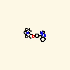 C[C@@H]1CC[C@@H](C)N1CCCOc1ccc(-c2c3c(nc4ccnn24)CCCCC3)cc1